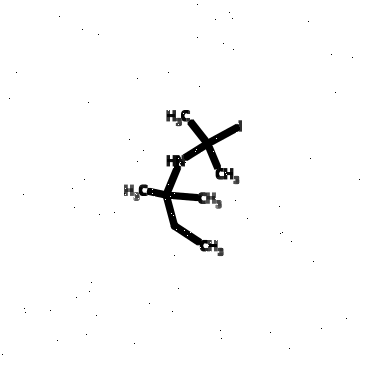 CCC(C)(C)NC(C)(C)I